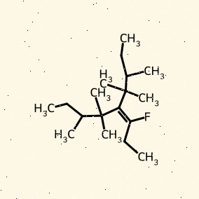 CCC(F)=C(C(C)(C)C(C)CC)C(C)(C)C(C)CC